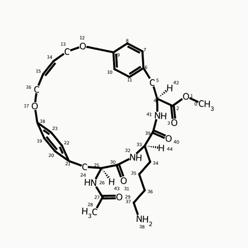 COC(=O)[C@@H]1Cc2ccc(cc2)OCC=CCOc2ccc(cc2)C[C@H](NC(C)=O)C(=O)N[C@H](CCCCN)C(=O)N1